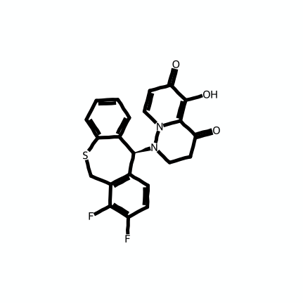 O=C1CCN([C@@H]2c3ccccc3SCc3c2ccc(F)c3F)n2ccc(=O)c(O)c21